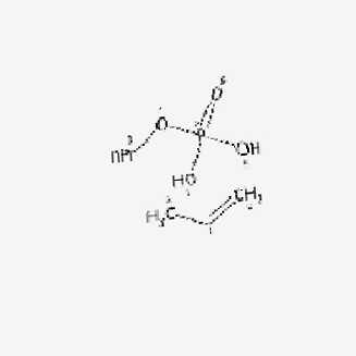 C=CC.CCCOP(=O)(O)O